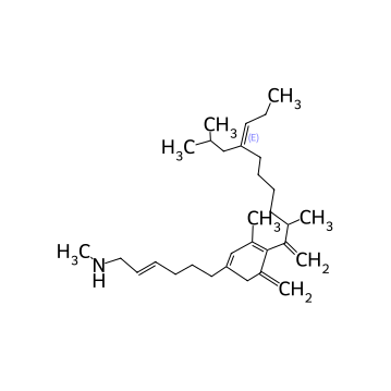 C=C1CC(CCCC=CCNC)=CC(C)=C1C(=C)C(C)CCCC/C(=C\CC)CC(C)C